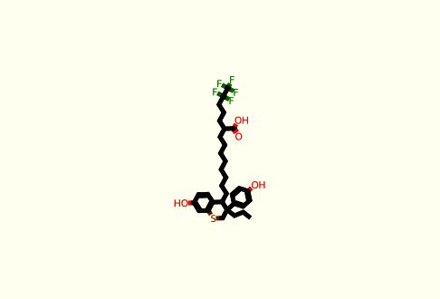 CCCC1(c2ccc(O)cc2)CSc2cc(O)ccc2C1CCCCCCCCC(CCCC(F)(F)C(F)(F)F)C(=O)O